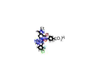 CCn1nc2c(c1C)CCN(C(=O)/C=C/c1c(N3C=NNN3)ccc(Cl)c1F)C2C(=O)Nc1ccc(C(=O)O)cc1